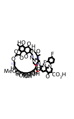 CO[C@H]1/C=C/O[C@@]2(C)Oc3c(C)c(O)c4c(c3C2=O)C(=O)C(/C=N/N2CCN(c3nc5c(cc3F)c(=O)c(C(=O)O)cn5-c3ccc(F)cc3F)CC2)=C(NC(=O)/C(C)=C\C=C\[C@H](C)[C@H](O)[C@@H](C)[C@@H](O)[C@@H](C)[C@H](OC(C)=O)[C@@H]1C)C4=O